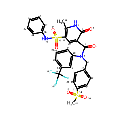 Cc1[nH]c(=O)c(C(=O)N(Cc2ccc(S(C)(=O)=O)cc2)c2cccc(C(F)(F)F)c2)cc1S(=O)(=O)Nc1ccccc1